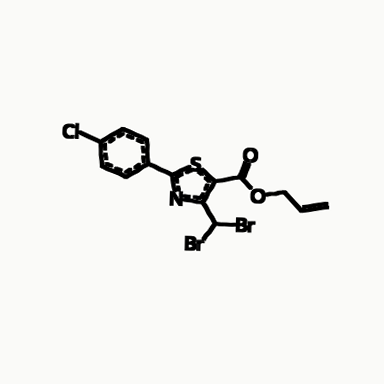 C=CCOC(=O)c1sc(-c2ccc(Cl)cc2)nc1C(Br)Br